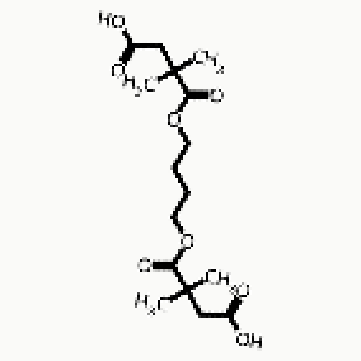 CC(C)(CC(=O)O)C(=O)OCCCCOC(=O)C(C)(C)CC(=O)O